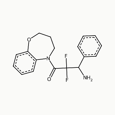 NC(c1ccccc1)C(F)(F)C(=O)N1CCCOc2ccccc21